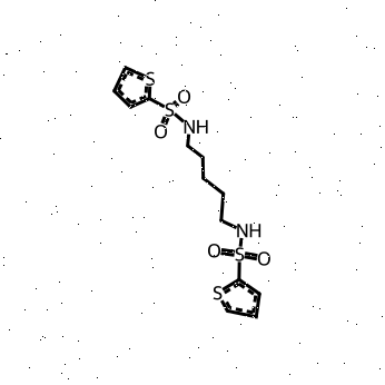 O=S(=O)(NCCCCCNS(=O)(=O)c1cccs1)c1cccs1